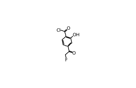 O=C(CF)c1ccc(C(=O)Cl)c(O)c1